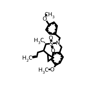 C=CCC(C1CC1)[C@H](C)S(=O)(=O)N(Cc1ccc(OC)cc1)Cc1ccc(OC)cc1